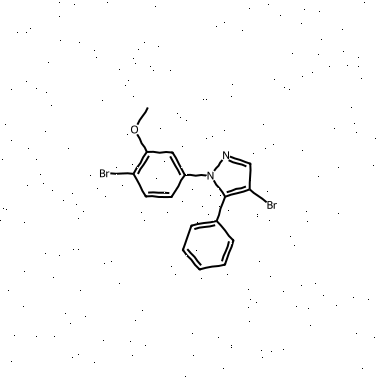 COc1cc(-n2ncc(Br)c2-c2ccccc2)ccc1Br